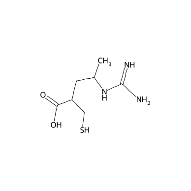 CC(CC(CS)C(=O)O)NC(=N)N